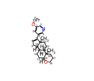 CCCOc1cncc(C2=CC[C@H]3[C@@H]4CC[C@@H]5OCCC[C@]5(C)[C@H]4CC[C@]23C)c1